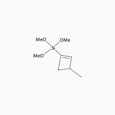 CO[Si](OC)(OC)C1=CC(C)C1